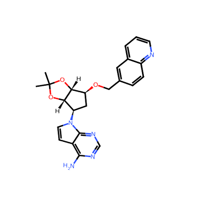 CC1(C)O[C@@H]2[C@H](O1)[C@@H](OCc1ccc3ncccc3c1)C[C@H]2n1ccc2c(N)ncnc21